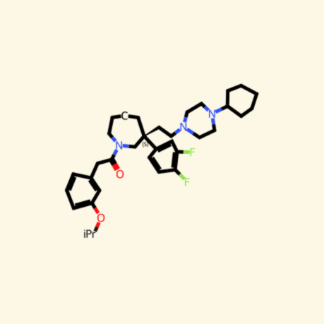 CC(C)Oc1cccc(CC(=O)N2CCCC[C@](CCN3CCN(C4CCCCC4)CC3)(c3ccc(F)c(F)c3)C2)c1